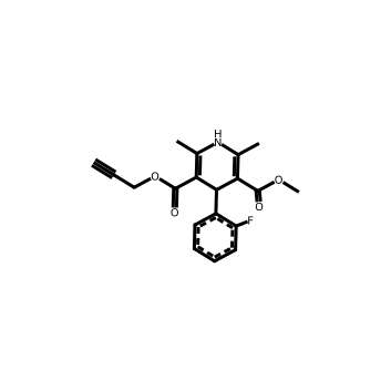 C#CCOC(=O)C1=C(C)NC(C)=C(C(=O)OC)C1c1ccccc1F